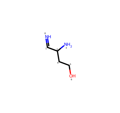 N=CC(N)CCO